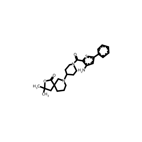 CC1(C)CC2(CCCN(C3CCN(C(=O)c4sc(-c5ccccc5)cc4N)CC3)C2)C(=O)O1